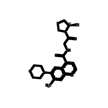 Cc1cc2nccc(C(=O)NCC(=O)N3CSC[C@H]3C#N)c2cc1N1CCOCC1